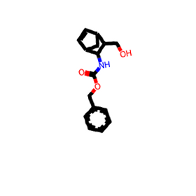 O=C(NC1C2C=CC(C2)C1CO)OCc1ccccc1